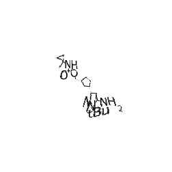 CC1(NC(=O)OC[C@@H]2CC[C@H](c3cc(N)n(C(C)(C)C)n3)C2)CC1